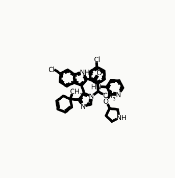 CC(c1ccc(Cl)cc1)n1cnc(C2(C)C=CC=CC2)c1-c1c(C(=O)Nc2cccnc2OC2CCNC2)[nH]c2cc(Cl)ccc12